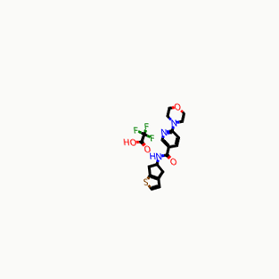 O=C(NC1Cc2ccsc2C1)c1ccc(N2CCOCC2)nc1.O=C(O)C(F)(F)F